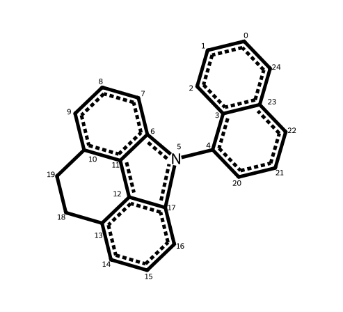 c1ccc2c(-n3c4cccc5c4c4c(cccc43)CC5)cccc2c1